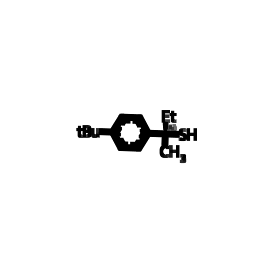 CC[C@](C)(S)c1ccc(C(C)(C)C)cc1